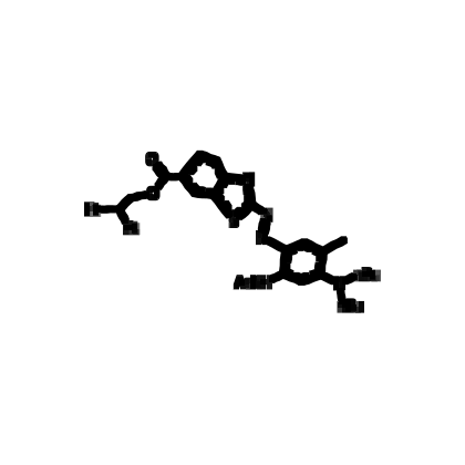 CCCCN(CCCC)c1cc(NC(C)=O)c(N=Nc2nc3ccc(C(=O)OCC(CC)CC)cc3s2)cc1C